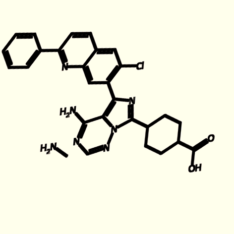 CN.Nc1ncnn2c(C3CCC(C(=O)O)CC3)nc(-c3cc4nc(-c5ccccc5)ccc4cc3Cl)c12